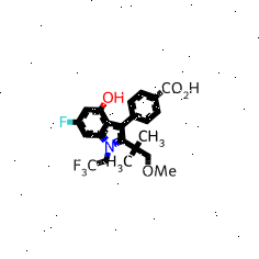 COCC(C)(C)c1c(-c2ccc(C(=O)O)cc2)c2c(O)cc(F)cc2n1CC(F)(F)F